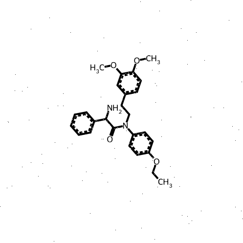 CCOc1ccc(N(CCc2ccc(OC)c(OC)c2)C(=O)C(N)c2ccccc2)cc1